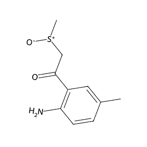 Cc1ccc(N)c(C(=O)C[S+](C)[O-])c1